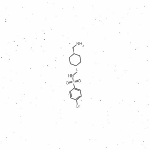 NC[C@H]1CC[C@H](CNS(=O)(=O)c2ccc(Br)cc2)CC1